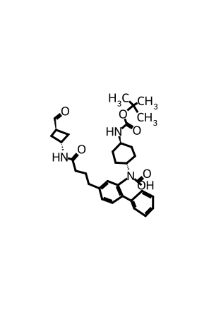 CC(C)(C)OC(=O)N[C@H]1CC[C@H](N(C(=O)O)c2cc(CCCC(=O)N[C@H]3C[C@H](C=O)C3)ccc2-c2ccccc2)CC1